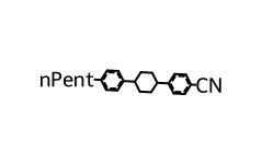 CCCCCc1ccc(C2CCC(c3ccc(C#N)cc3)CC2)cc1